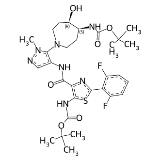 Cn1ncc(NC(=O)c2nc(-c3c(F)cccc3F)sc2NC(=O)OC(C)(C)C)c1N1CC[C@@H](O)[C@@H](NC(=O)OC(C)(C)C)CC1